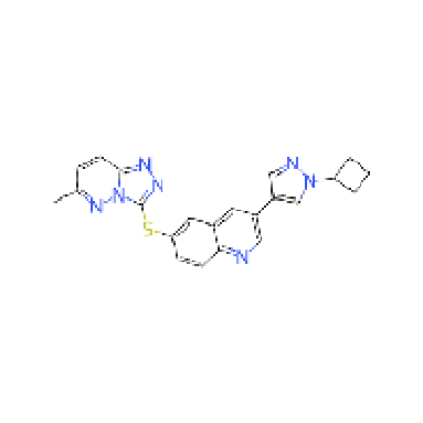 Cc1ccc2nnc(Sc3ccc4ncc(-c5cnn(C6CCC6)c5)cc4c3)n2n1